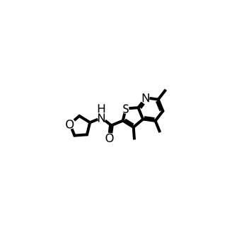 Cc1cc(C)c2c(C)c(C(=O)NC3CCOC3)sc2n1